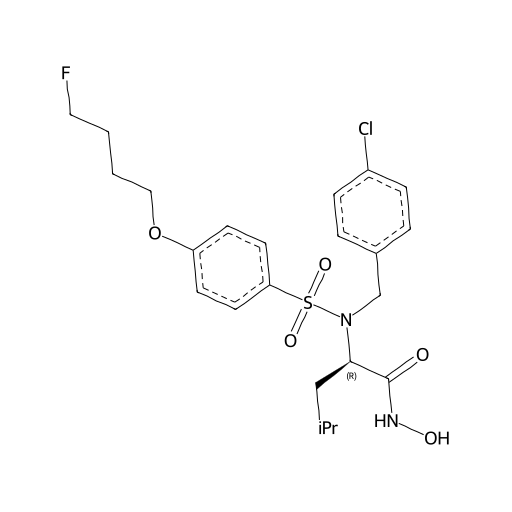 CC(C)C[C@H](C(=O)NO)N(Cc1ccc(Cl)cc1)S(=O)(=O)c1ccc(OCCCCF)cc1